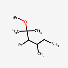 CC(C)OC(C)(C)C(C(C)C)C(C)C[SiH3]